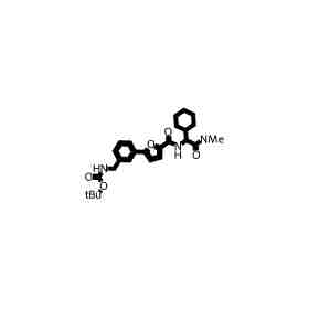 CNC(=O)C(NC(=O)c1ccc(-c2cccc(CNC(=O)OC(C)(C)C)c2)o1)C1CCCCC1